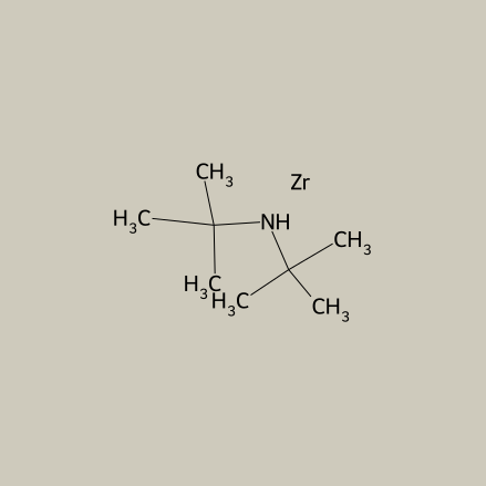 CC(C)(C)NC(C)(C)C.[Zr]